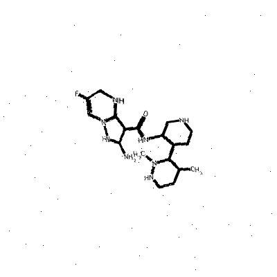 CC1CCNN(C)C1C1CCNCC1NC(=O)C1C(N)NN2C=C(F)CNC12